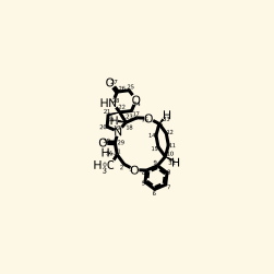 C[C@@H]1COc2ccccc2[C@H]2CC[C@H](CC2)OC[C@@H]2N(CC[C@@]23COCC(=O)N3)C1=O